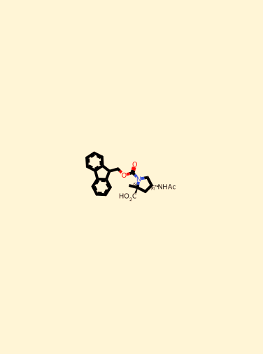 CC(=O)N[C@H]1CN(C(=O)OCC2c3ccccc3-c3ccccc32)[C@](C)(C(=O)O)C1